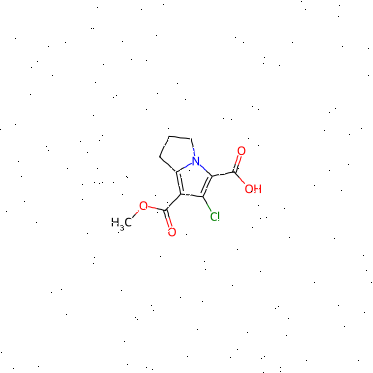 COC(=O)c1c(Cl)c(C(=O)O)n2c1CCC2